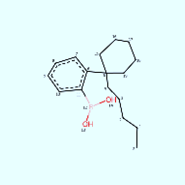 CCCCCC1(c2ccccc2B(O)O)CCCCC1